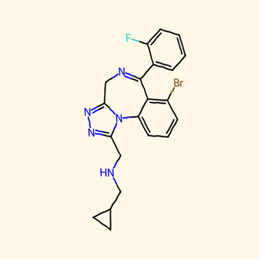 Fc1ccccc1C1=NCc2nnc(CNCC3CC3)n2-c2cccc(Br)c21